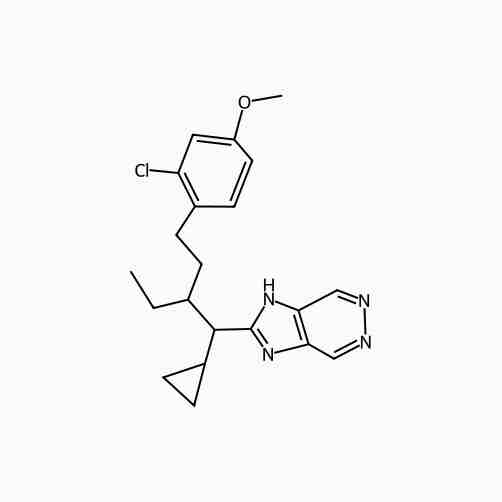 CCC(CCc1ccc(OC)cc1Cl)C(c1nc2cnncc2[nH]1)C1CC1